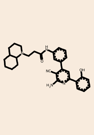 N#Cc1c(-c2cccc(NC(=O)CCN3CCCC4CCCCC43)c2)cc(-c2ccccc2O)nc1N